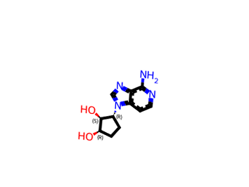 Nc1nccc2c1ncn2[C@@H]1CC[C@@H](O)[C@H]1O